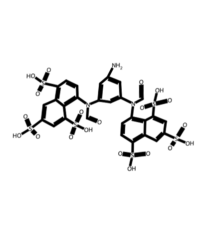 Nc1cc(N(C=O)c2ccc(S(=O)(=O)O)c3cc(S(=O)(=O)O)cc(S(=O)(=O)O)c23)cc(N(C=O)c2ccc(S(=O)(=O)O)c3cc(S(=O)(=O)O)cc(S(=O)(=O)O)c23)c1